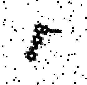 CC(=O)Nc1nc2cccc(-c3ccc(OCc4ccccc4)cc3)n2n1